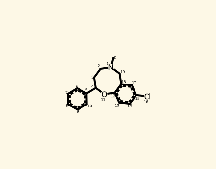 CN1CCC(c2ccccc2)Oc2ccc(Cl)cc2C1